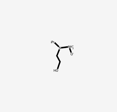 CC(C)N(CCO)[NH2+][O-]